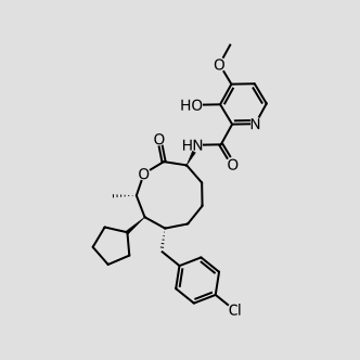 COc1ccnc(C(=O)N[C@H]2CCC[C@H](Cc3ccc(Cl)cc3)[C@@H](C3CCCC3)[C@H](C)OC2=O)c1O